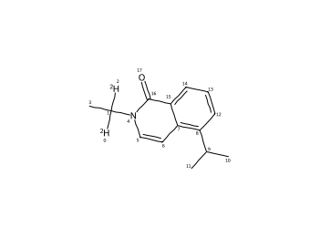 [2H]C([2H])(C)n1ccc2c(C(C)C)cccc2c1=O